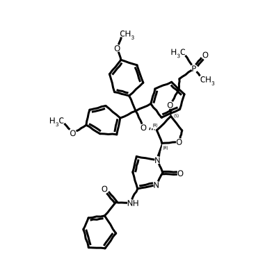 COc1ccc(C(O[C@@H]2[C@@H](OCCP(C)(C)=O)CO[C@H]2n2ccc(NC(=O)c3ccccc3)nc2=O)(c2ccccc2)c2ccc(OC)cc2)cc1